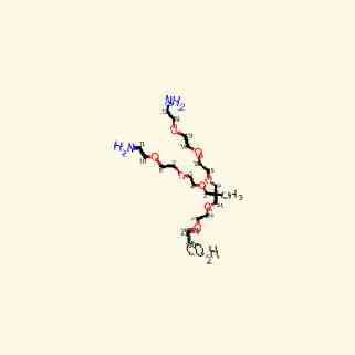 CC(COCCOCCOCCN)(COCCOCCOCCN)COCCOCC(=O)O